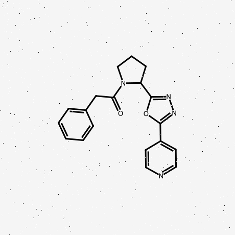 O=C(Cc1ccccc1)N1CCCC1c1nnc(-c2ccncc2)o1